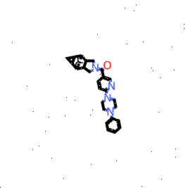 O=C(c1ccc(N2CCN(c3ccccc3)CC2)nc1)N1CC2C3CCC(C4CC34)C2C1